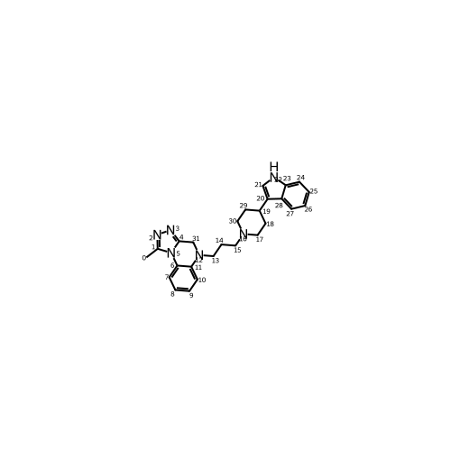 Cc1nnc2n1-c1ccccc1N(CCCN1CCC(c3c[nH]c4ccccc34)CC1)C2